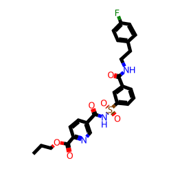 CCCOC(=O)c1ccc(C(=O)NS(=O)(=O)c2cccc(C(=O)NCCc3ccc(F)cc3)c2)cn1